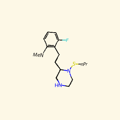 CCCSN1CCNCC1CCc1c(F)cccc1NC